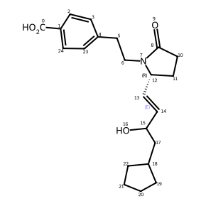 O=C(O)c1ccc(CCN2C(=O)CC[C@@H]2/C=C/C(O)CC2CCCC2)cc1